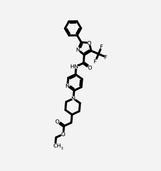 CCOC(=O)CC1CCN(c2ccc(NC(=O)c3nc(-c4ccccc4)oc3C(F)(F)F)cn2)CC1